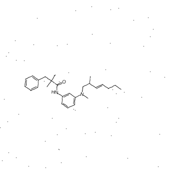 CCCC=CC(C)CN(C)c1cccc(NC(=O)C(C)(C)Cc2ccccc2)c1